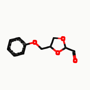 O=CC1OCC(COc2ccccc2)O1